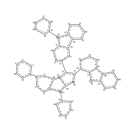 c1ccc(-c2ccc3c(c2)n2c(-c4ccc5c(c4)c4ccccc4n5-c4ccccc4)c(-c4cccc5c4oc4ccccc45)nc2n3-c2ccccc2)cc1